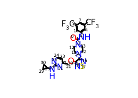 O=C(Nc1cc(C(F)(F)F)cc(C(F)(F)F)c1)N1CCN(c2nsnc2OCc2ccnc(NC3CC3)n2)CC1